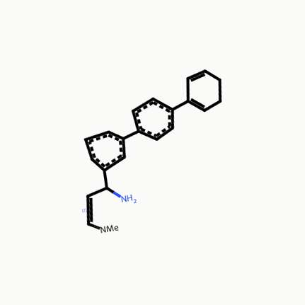 CN/C=C\C(N)c1cccc(-c2ccc(C3=CCCC=C3)cc2)c1